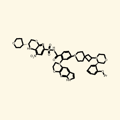 CC(C)Oc1ccccc1[C@@H]1COCCN1C1CC2(CCN(c3ccc(C(=O)NS(=O)(=O)c4cc([N+](=O)[O-])c5c(n4)OC[C@@H](C4CCOCC4)N5)c(N4CCOc5nc6[nH]ccc6cc54)c3)CC2)C1